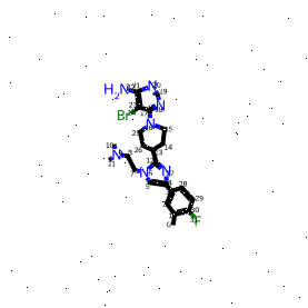 Cc1cc(-c2cn(CCN(C)C)c(C3CCN(c4ncnc(N)c4Br)CC3)n2)ccc1F